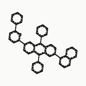 c1ccc(-c2cccc(-c3ccc4c(-c5ccccc5)c5cc(-c6cccc7ccccc67)ccc5c(-c5ccccc5)c4c3)n2)cc1